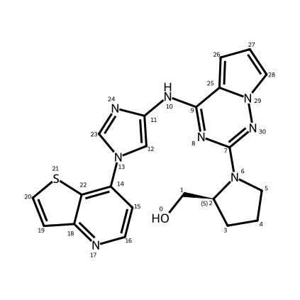 OC[C@@H]1CCCN1c1nc(Nc2cn(-c3ccnc4ccsc34)cn2)c2cccn2n1